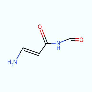 N/C=C/C(=O)NC=O